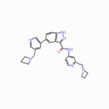 O=C(Nc1ccnc(CN2CCC2)c1)c1n[nH]c2ccc(-c3cncc(CN4CCC4)c3)cc12